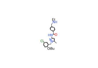 CCNCc1ccc(C(=O)Nc2cc(C)n(Cc3cc(Cl)ccc3OCC(C)C)n2)cc1